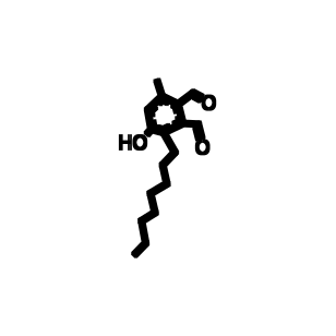 CCCCCCCCc1c(O)cc(C)c(C=O)c1C=O